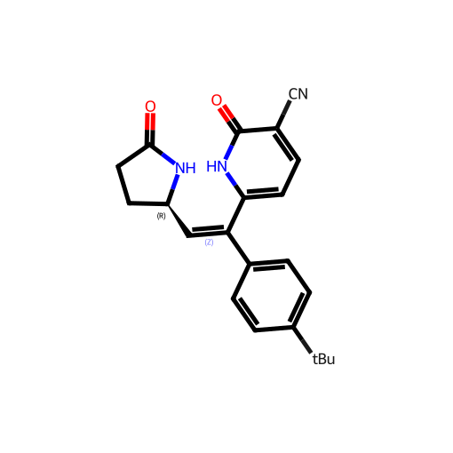 CC(C)(C)c1ccc(/C(=C/[C@H]2CCC(=O)N2)c2ccc(C#N)c(=O)[nH]2)cc1